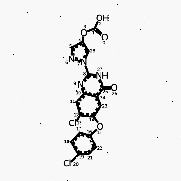 O=C(O)Oc1cnn(-c2nc3cc(Cl)c(Oc4ccc(Cl)cc4)cc3c(=O)[nH]2)c1